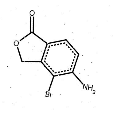 Nc1ccc2c(c1Br)COC2=O